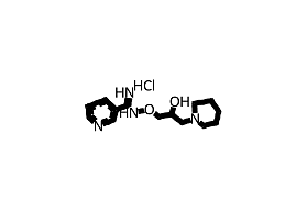 Cl.N=C(NOCC(O)CN1CCCCC1)c1cccnc1